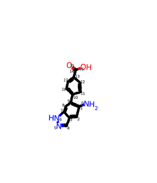 Nc1cc2cn[nH]c2cc1-c1ccc(C(=O)O)cc1